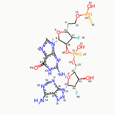 Nc1nc2c(ncn2[C@@H]2O[C@H](CCO[PH](O)=S)[C@@H](F)[C@H]2OP(O)(=S)OC[C@H]2O[C@@H](n3nnc4c(N)ncnc43)[C@@H](F)[C@@H]2O)c(=O)[nH]1